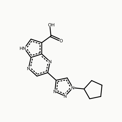 O=C(O)c1c[nH]c2ncc(-c3cn(C4CCCC4)nn3)nc12